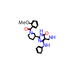 COc1ccccc1C(=O)N1CCCC(c2nc(NC3=CC=CCC3)c(C=N)c(=O)[nH]2)C1